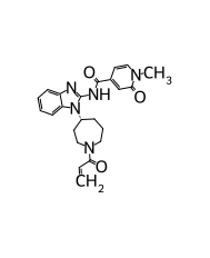 C=CC(=O)N1CCC[C@@H](n2c(NC(=O)c3ccn(C)c(=O)c3)nc3ccccc32)CC1